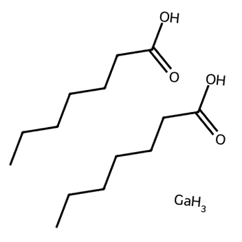 CCCCCCC(=O)O.CCCCCCC(=O)O.[GaH3]